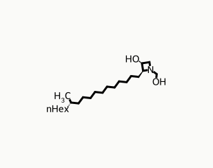 CCCCCC[C@H](C)CCCCCCCCCCC[C@H]1[C@H](O)CN1CO